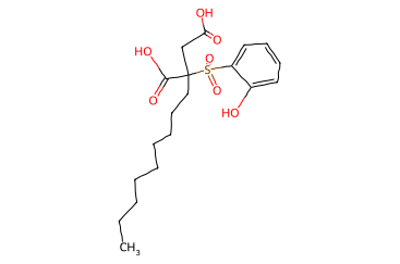 CCCCCCCCCC(CC(=O)O)(C(=O)O)S(=O)(=O)c1ccccc1O